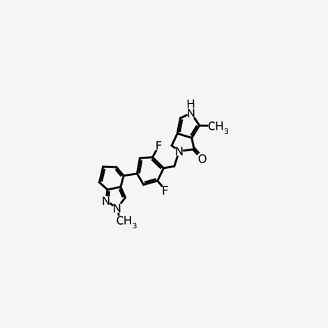 Cc1[nH]cc2c1C(=O)N(Cc1c(F)cc(-c3cccc4nn(C)cc34)cc1F)C2